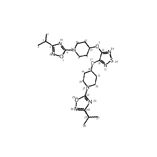 CC(C)c1noc(N2CCC(Oc3nsnc3OC3CCN(c4nc(C(C)C)no4)CC3)CC2)n1